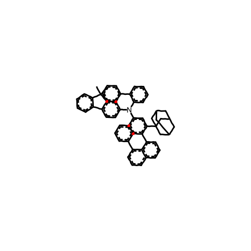 CC1(C)c2ccccc2-c2ccc(N(c3ccc(-c4cccc5cccc(-c6ccccc6)c45)c(C45CC6CC(CC(C6)C4)C5)c3)c3ccccc3-c3ccccc3)cc21